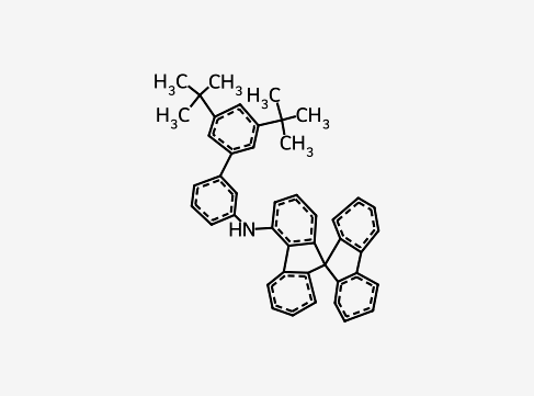 CC(C)(C)c1cc(-c2cccc(Nc3cccc4c3-c3ccccc3C43c4ccccc4-c4ccccc43)c2)cc(C(C)(C)C)c1